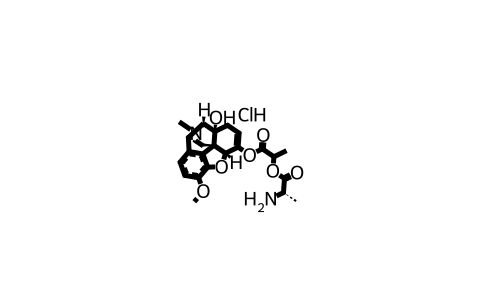 COc1ccc2c3c1O[C@H]1C(OC(=O)C(C)OC(=O)[C@H](C)N)=CC[C@@]4(O)[C@@H](C2)N(C)CC[C@]314.Cl